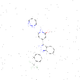 O=c1cc(-c2nn(-c3ccc(C(F)(F)F)cc3)c3ccccc23)ccn1Cc1cccnn1